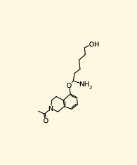 CC(=O)N1CCc2c(cccc2OC(N)CCCCCO)C1